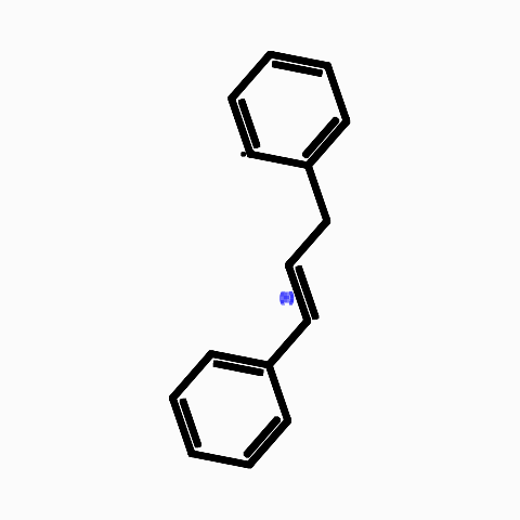 [c]1ccccc1C/C=C/c1ccccc1